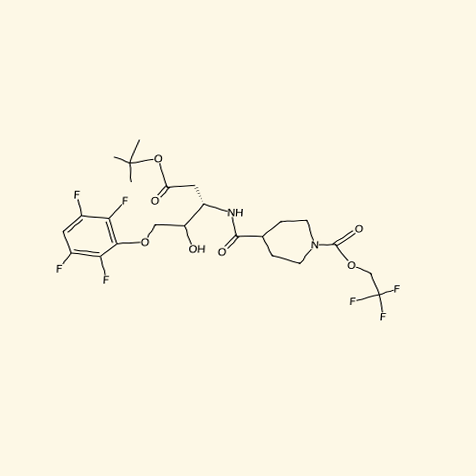 CC(C)(C)OC(=O)C[C@H](NC(=O)C1CCN(C(=O)OCC(F)(F)F)CC1)C(O)COc1c(F)c(F)cc(F)c1F